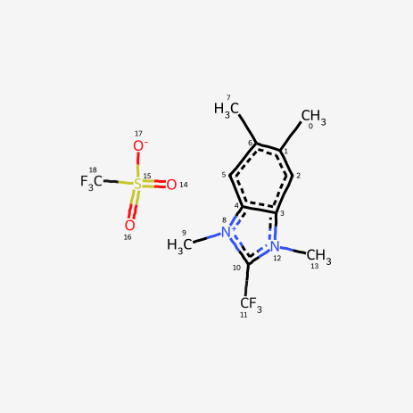 Cc1cc2c(cc1C)[n+](C)c(C(F)(F)F)n2C.O=S(=O)([O-])C(F)(F)F